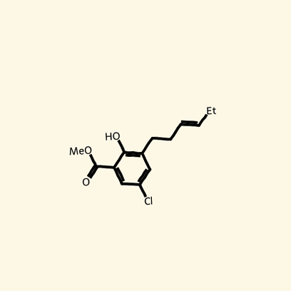 CCC=CCCc1cc(Cl)cc(C(=O)OC)c1O